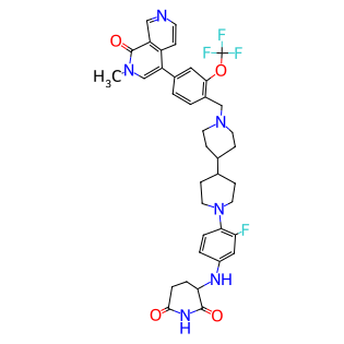 Cn1cc(-c2ccc(CN3CCC(C4CCN(c5ccc(NC6CCC(=O)NC6=O)cc5F)CC4)CC3)c(OC(F)(F)F)c2)c2ccncc2c1=O